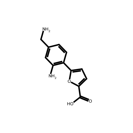 NCc1ccc(-c2ccc(C(=O)O)o2)c(N)c1